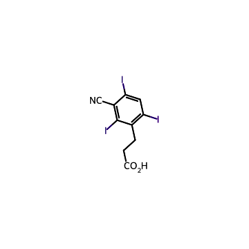 N#Cc1c(I)cc(I)c(CCC(=O)O)c1I